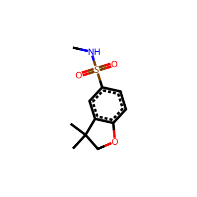 CNS(=O)(=O)c1ccc2c(c1)C(C)(C)CO2